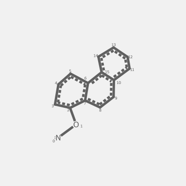 [N]Oc1cccc2c1ccc1ccccc12